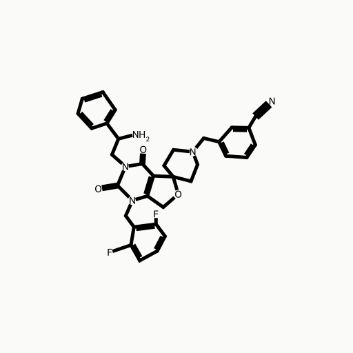 N#Cc1cccc(CN2CCC3(CC2)OCc2c3c(=O)n(CC(N)c3ccccc3)c(=O)n2Cc2c(F)cccc2F)c1